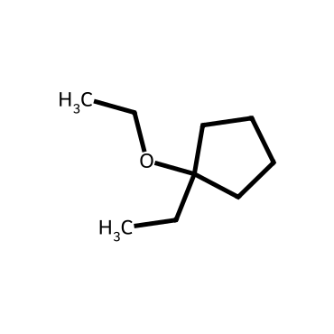 CCOC1(CC)CCCC1